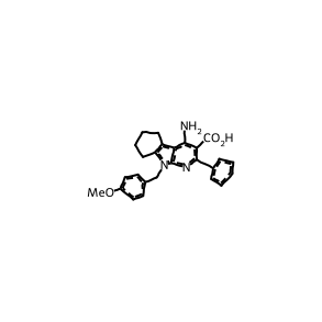 COc1ccc(Cn2c3c(c4c(N)c(C(=O)O)c(-c5ccccc5)nc42)CCCC3)cc1